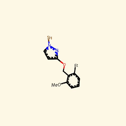 CCc1cccc(OC)c1COc1ccn(S)n1